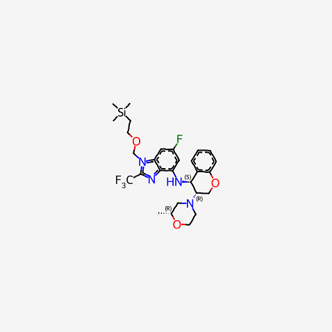 C[C@@H]1CN([C@H]2COc3ccccc3[C@@H]2Nc2cc(F)cc3c2nc(C(F)(F)F)n3COCC[Si](C)(C)C)CCO1